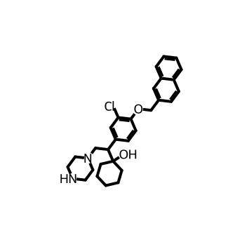 OC1(C(CN2CCNCC2)c2ccc(OCc3ccc4ccccc4c3)c(Cl)c2)CCCCC1